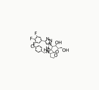 OC[C@H]1O[C@]2(OCC[C@H]2NCc2ccc(Cl)cc2)[C@H](O)[C@@H](n2cc(-c3cc(F)c(F)c(F)c3)nn2)[C@H]1O